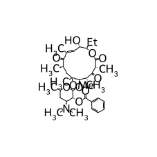 CC[C@H]1OC(=O)[C@H](C)C(=O)[C@H](C)[C@@H](OC2O[C@H](C)C[C@H](N(C)C)[C@H]2OC(=O)c2ccccc2)[C@@](C)(OC)C[C@@H](C)C(=O)/C(C)=C/[C@@H]1O